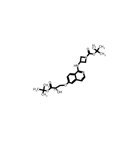 CC(C)(C)OC(=O)[C@H](O)COc1ccc2c(NC3CN(C(=O)OC(C)(C)C)C3)nccc2c1